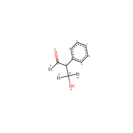 CCC(=O)C(c1ccccc1)C(O)(CC)CC